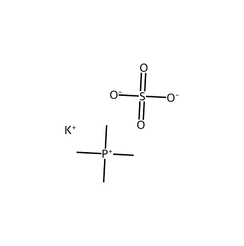 C[P+](C)(C)C.O=S(=O)([O-])[O-].[K+]